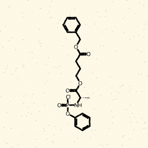 C[C@H](NP(=O)(Cl)Oc1ccccc1)C(=O)OCCCC(=O)OCc1ccccc1